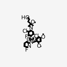 COc1ccc(CN(c2cccc(F)n2)S(=O)(=O)c2c(Cl)cc(N3CC(CCO)(OC)C3)c(Cl)c2F)c(OC)c1